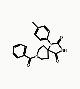 Cc1ccc(N2C(=O)NC(=O)C23CCN(C(=O)c2ccccc2)CC3)cc1